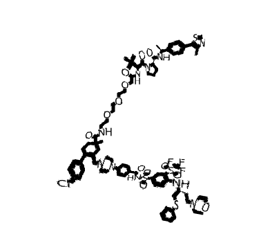 Cc1ncsc1-c1ccc([C@H](C)NC(=O)[C@@H]2CCCN2C(=O)[C@@H](NC(=O)COCCOCCOCCNC(=O)C2(C)CCC(c3ccc(Cl)cc3)=C(CN3CCN(c4ccc(C(=O)NS(=O)(=O)c5ccc(N[C@H](CCN6CCOCC6)CSc6ccccc6)c(S(=O)(=O)C(F)(F)F)c5)cc4)CC3)C2)C(C)(C)C)cc1